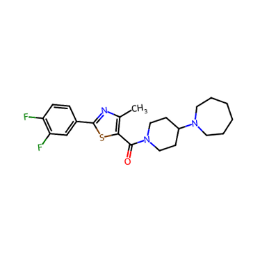 Cc1nc(-c2ccc(F)c(F)c2)sc1C(=O)N1CCC(N2CCCCCC2)CC1